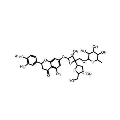 COc1ccc(C2CC(=O)c3c(O)cc(OC4OC(COC5OC(C)C(O)C(O)C5O)(C5C[C@H](O)C(CO)O5)[C@@H]4O)cc3O2)cc1O